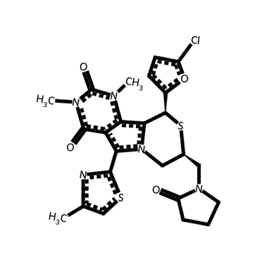 Cc1csc(-c2c3c(=O)n(C)c(=O)n(C)c3c3n2C[C@H](CN2CCCC2=O)S[C@@H]3c2ccc(Cl)o2)n1